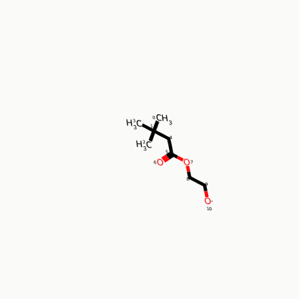 CC(C)(C)CC(=O)OCC[O]